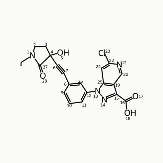 CN1CCC(O)(C#Cc2cccc(-n3nc(C(=O)O)c4cnc(Cl)cc43)c2)C1=O